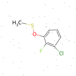 CSOc1cccc(Cl)c1F